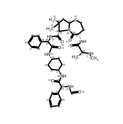 CN[C@@H](C)C(=S)N[C@H]1CCSC2CC(C)(C)[C@@H](C(=O)N[C@@H](C(=O)N[C@H]3CC[C@H](NC(=O)[C@@H](NC=O)c4ccccc4)CC3)c3ccccc3)N2C1=O